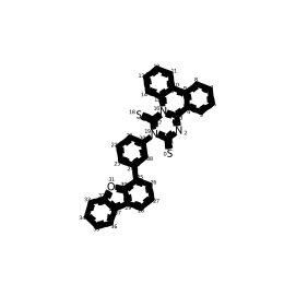 S=c1nc2c3ccccc3c3ccccc3n2c(=S)n1-c1cccc(-c2cccc3c2oc2ccccc23)c1